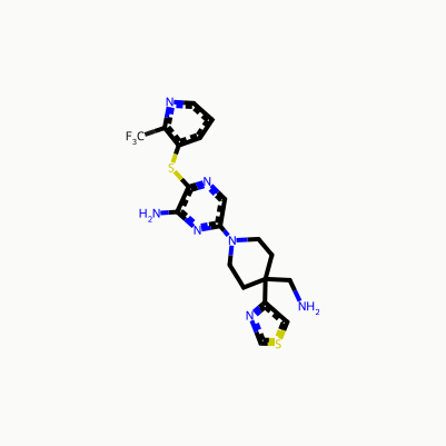 NCC1(c2cscn2)CCN(c2cnc(Sc3cccnc3C(F)(F)F)c(N)n2)CC1